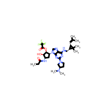 CCC(=O)N[C@H]1C[C@@H](n2cnc3c(NC[C@@H]4[C@H](C=C(C)C)C4(C)C)nc(N4CC[C@@H](N(C)C)C4)nc32)[C@H](OC(=O)C(F)(F)F)[C@@H]1O